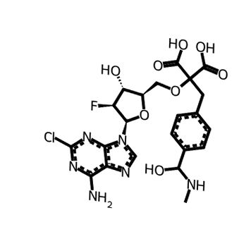 CNC(O)c1ccc(CC(OC[C@H]2O[C@@H](n3cnc4c(N)nc(Cl)nc43)[C@@H](F)[C@@H]2O)(C(=O)O)C(=O)O)cc1